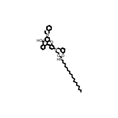 C=CN(Cc1ccccc1)c1ccc2c(-c3ccccc3C(=O)O)c3cc/c(=[N+](\CCOC(=O)NCCCCCCCCCCCCCCCCCC)Cc4ccccc4)cc-3oc2c1